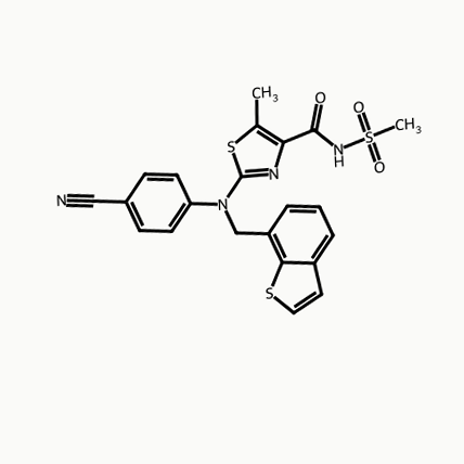 Cc1sc(N(Cc2cccc3ccsc23)c2ccc(C#N)cc2)nc1C(=O)NS(C)(=O)=O